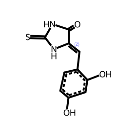 O=C1NC(=S)N/C1=C\c1ccc(O)cc1O